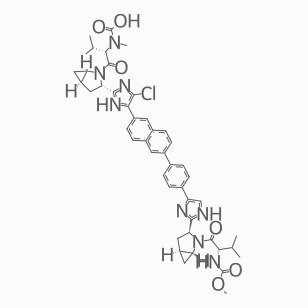 COC(=O)N[C@H](C(=O)N1[C@@H]2C[C@H]2C[C@H]1c1nc(-c2ccc(-c3ccc4cc(-c5[nH]c([C@@H]6C[C@H]7C[C@H]7N6C(=O)[C@H](C(C)C)N(C)C(=O)O)nc5Cl)ccc4c3)cc2)c[nH]1)C(C)C